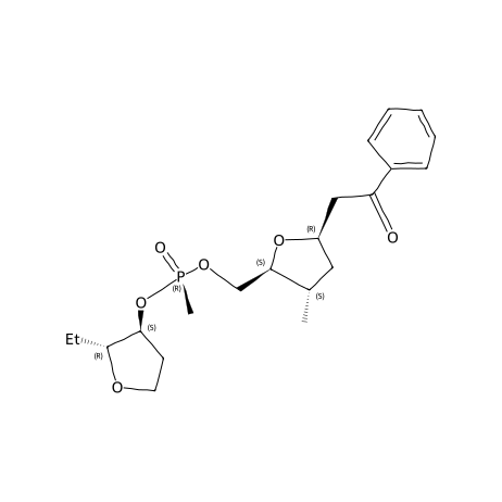 CC[C@H]1OCC[C@@H]1O[P@](C)(=O)OC[C@H]1O[C@@H](CC(=O)c2ccccc2)C[C@@H]1C